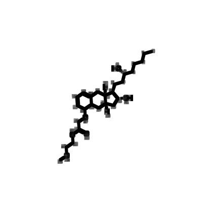 CCCCC[C@@H](O)CC[C@@H]1[C@H]2CC3=CC=CC(OCC(=O)OCCOC)C3C[C@H]2C[C@H]1O